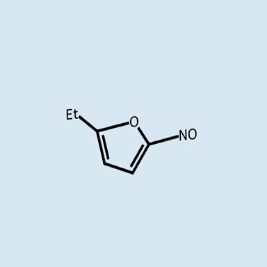 CCc1ccc(N=O)o1